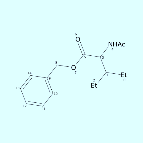 CCC(CC)C(NC(C)=O)C(=O)OCc1ccccc1